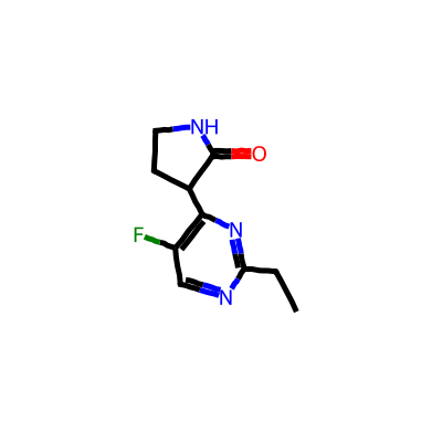 CCc1ncc(F)c(C2CCNC2=O)n1